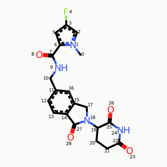 Cn1cc(F)cc1C(=O)NCc1ccc2c(c1)CN(C1CCC(=O)NC1=O)C2=O